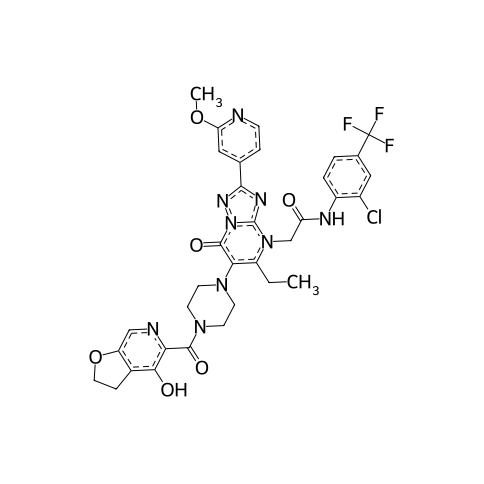 CCc1c(N2CCN(C(=O)c3ncc4c(c3O)CCO4)CC2)c(=O)n2nc(-c3ccnc(OC)c3)nc2n1CC(=O)Nc1ccc(C(F)(F)F)cc1Cl